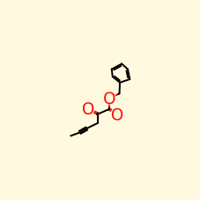 CC#CCC(=O)C(=O)OCc1ccccc1